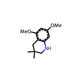 COc1cc2c(c(OC)c1)CC(C)(C)CN2